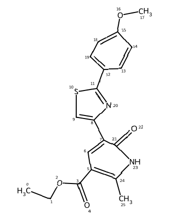 CCOC(=O)c1cc(-c2csc(-c3ccc(OC)cc3)n2)c(=O)[nH]c1C